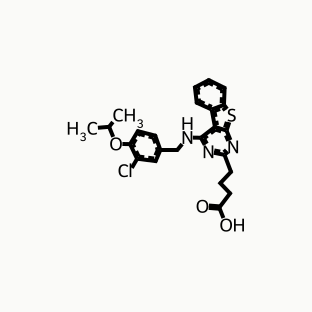 CC(C)Oc1ccc(CNc2nc(CCCC(=O)O)nc3sc4ccccc4c23)cc1Cl